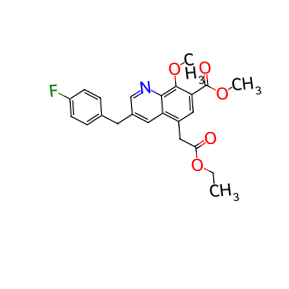 CCOC(=O)Cc1cc(C(=O)OC)c(OC)c2ncc(Cc3ccc(F)cc3)cc12